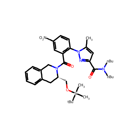 CCCCN(CCCC)C(=O)c1cc(C)n(-c2ccc([N+](=O)[O-])cc2C(=O)N2Cc3ccccc3C[C@H]2CO[Si](C)(C)C(C)(C)C)n1